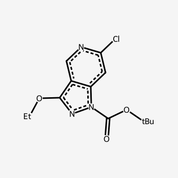 CCOc1nn(C(=O)OC(C)(C)C)c2cc(Cl)ncc12